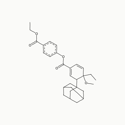 CCOC(=O)c1ccc(OC(=O)C2=CC(C34CC5CC(CC(C5)C3)C4)C(CC)(OC)C=C2)cc1